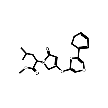 COC(=O)C(CC(C)C)N1CC(OC2=COC=C(C3=CC=CCC3)O2)=CC1=O